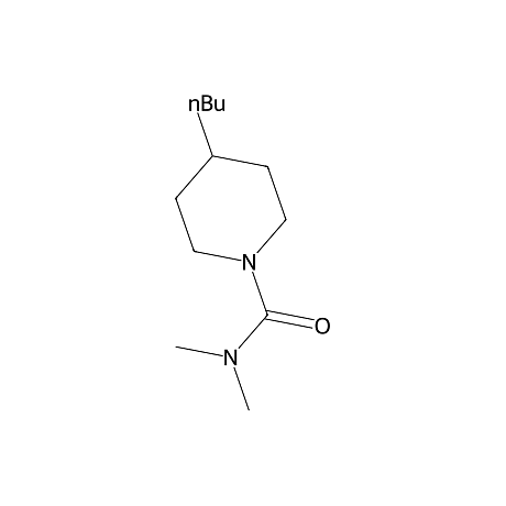 CCCCC1CCN(C(=O)N(C)C)CC1